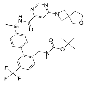 C[C@@H](NC(=O)c1cc(N2CC3(CCOC3)C2)ncn1)c1ccc(-c2cc(C(F)(F)F)ccc2CNC(=O)OC(C)(C)C)cc1